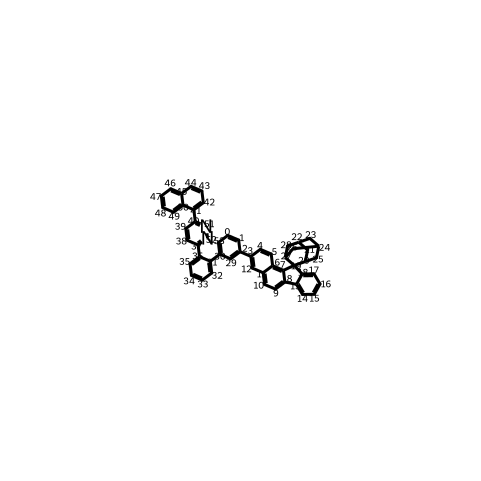 c1cc(-c2ccc3c4c(ccc3c2)-c2ccccc2C42C3CC4CC(C3)CC2C4)cc(-c2ccccc2-c2ccc(-c3cccc4ccccc34)nn2)c1